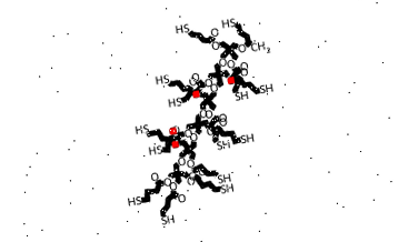 C=C(CCCS)OCC(COCC(COCC(COCC(COCC(COCC(COC(=O)CCCS)(COC(=O)CCCS)COC(=O)CCCS)(COC(=O)CCCS)COC(=O)CCCS)(COC(=O)CCCS)COC(=O)CCCS)(COC(=O)CCCS)COC(=O)CCCS)(COC(=O)CCCS)COC(=O)CCCS)(COC(=O)CCCS)COC(=O)CCCS